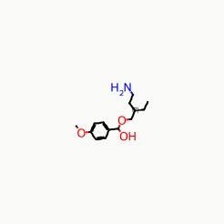 CC[C@H](CCN)COC(O)c1ccc(OC)cc1